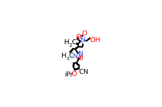 C=C1/C(=C(\C=C/C)c2noc(-c3ccc(OC(C)C)c(C#N)c3)n2)CC[C@@]12COC(=O)N2CCO